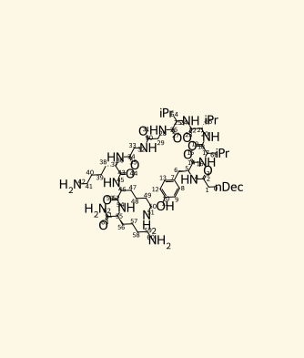 CCCCCCCCCCCC(=O)N[C@@H](Cc1ccc(O)cc1)C(=O)NC(C(=O)N[C@H](C(=O)NC(C(=O)NCC(=O)NCC(=O)N[C@@H](CCCCN)C(=O)NC(CCCCN)C(=O)N[C@@H](CCCCN)C(N)=O)C(C)C)C(C)C)C(C)C